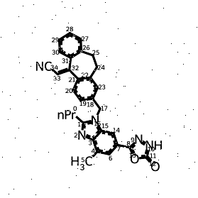 CCCc1nc2c(C)cc(-c3n[nH]c(=O)o3)cc2n1Cc1ccc2c(c1)CCc1ccccc1/C2=C\C#N